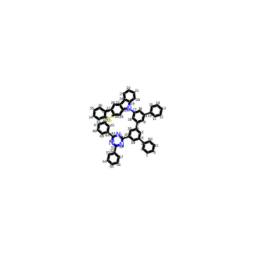 c1ccc(-c2cc(-c3cc(-c4ccccc4)cc(-n4c5ccccc5c5cc6c(cc54)sc4ccccc46)c3)cc(-c3nc(-c4ccccc4)nc(-c4ccccc4)n3)c2)cc1